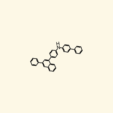 c1ccc(-c2ccc(Nc3ccc(-c4cc(-c5ccccc5)cc5ccccc45)cc3)cc2)cc1